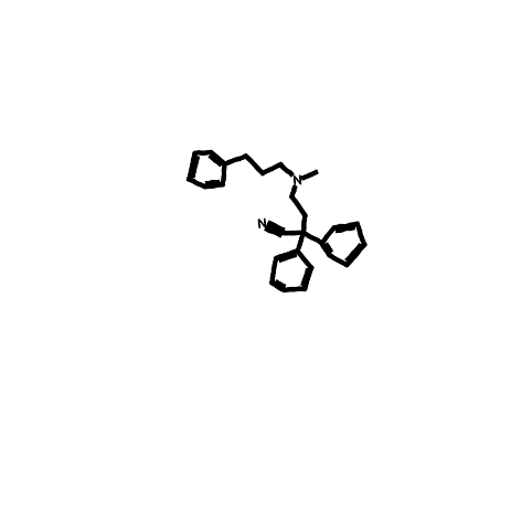 CN(CCCc1ccccc1)CCC(C#N)(c1ccccc1)c1ccccc1